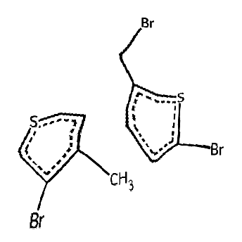 BrCc1ccc(Br)s1.Cc1cscc1Br